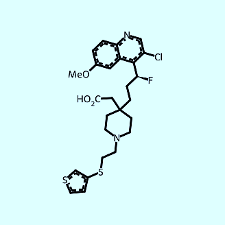 COc1ccc2ncc(Cl)c([C@@H](F)CCC3(CC(=O)O)CCN(CCSc4ccsc4)CC3)c2c1